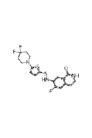 O=c1[nH]ccc2cc(F)c(NSc3ccc(N4CCC(F)(F)CC4)s3)cc12